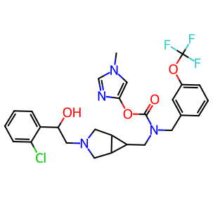 Cn1cnc(OC(=O)N(Cc2cccc(OC(F)(F)F)c2)CC2C3CN(CC(O)c4ccccc4Cl)CC32)c1